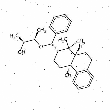 C[C@H](O)[C@@H](C)OC(c1ccccc1)[C@H]1CC[C@]2(C)c3ccccc3CC[C@H]2C1(C)C